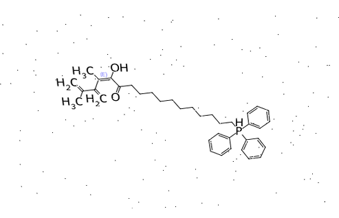 C=C(C)C(=C)/C(C)=C(/O)C(=O)CCCCCCCCCCC[PH](c1ccccc1)(c1ccccc1)c1ccccc1